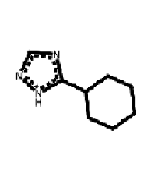 [c]1n[nH]c(C2CCCCC2)n1